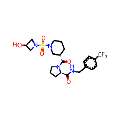 O=C(NCc1ccc(C(F)(F)F)cc1)[C@H]1CCCN1C(=O)[C@H]1CCCN(S(=O)(=O)N2CC(O)C2)C1